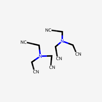 N#CCN(CC#N)CC#N.N#CCN(CC#N)CC#N